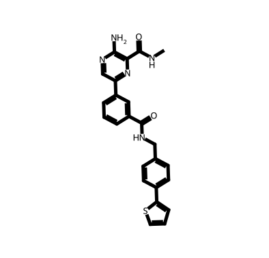 CNC(=O)c1nc(-c2cccc(C(=O)NCc3ccc(-c4cccs4)cc3)c2)cnc1N